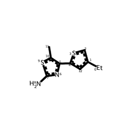 CCc1csc(-c2nc(N)sc2C)c1